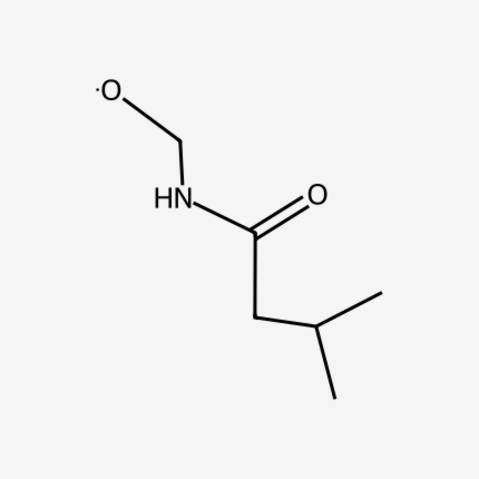 CC(C)CC(=O)NC[O]